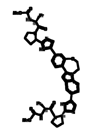 COC(=O)N[C@H](C(=O)N1CCCC1c1ncc(-c2ccc3c(c2)OCCn2c-3cc3cc(-c4cnc([C@@H]5CCCN5C(=O)[C@@H](NC(=O)OC)C(C)C)[nH]4)ccc32)[nH]1)C(C)C